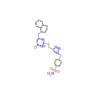 NS(=O)(=O)c1ccc(Cn2cc(CSc3nc(Cc4cccc5ccccc45)cc(=O)[nH]3)nn2)cc1